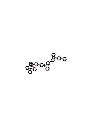 c1ccc(-c2ccc(-n3c4ccccc4c4cc(-c5ccc6c(c5)c5ccccc5n6-c5ccc(-c6ccc(-c7cccc(-c8ccccc8C8(c9ccccc9)c9ccccc9-c9ccccc98)c7)cc6)cc5)ccc43)cc2)cc1